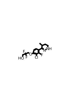 CC1CCNN=C1c1ccc(OCC(F)(F)CO)c(Cl)c1F